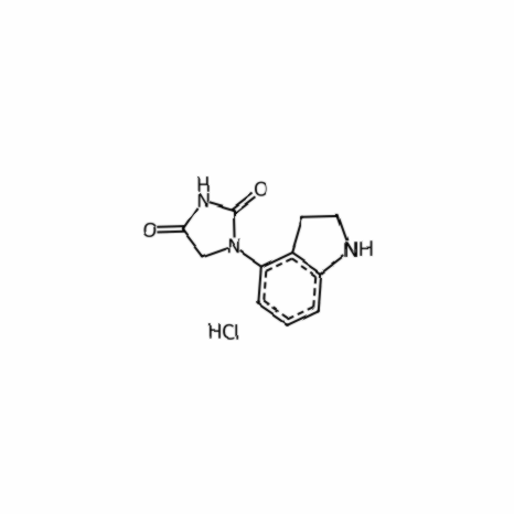 Cl.O=C1CN(c2cccc3c2CCN3)C(=O)N1